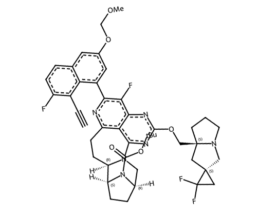 C#Cc1c(F)ccc2cc(OCOC)cc(-c3nc4c5c(nc(OC[C@@]67CCCN6C[C@@]6(CC6(F)F)C7)nc5c3F)N3C[C@H]5CC[C@@H]([C@H]3CC4)N5C(=O)OC(C)(C)C)c12